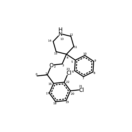 CC(OCC1(c2ccccc2)CCNCC1)c1cccc(Cl)c1Cl